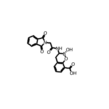 O=C(CN1C(=O)c2ccccc2C1=O)NC1Cc2cccc(C(=O)O)c2OB1O